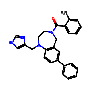 O=C(c1ccccc1[N+](=O)[O-])N1CCN(Cc2c[nH]cn2)c2ccc(-c3ccccc3)cc2C1